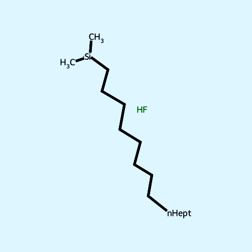 CCCCCCCCCCCCCCC[Si](C)C.F